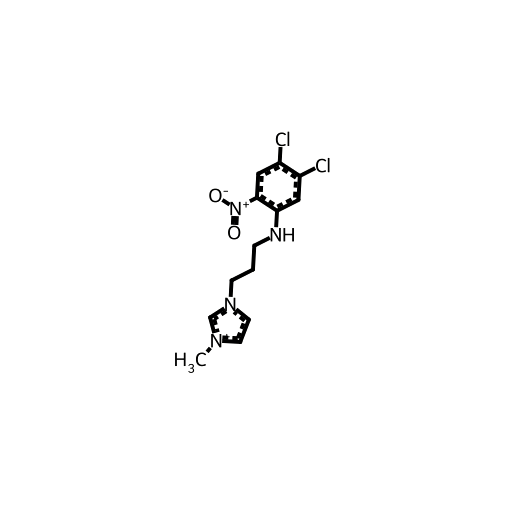 C[n+]1ccn(CCCNc2cc(Cl)c(Cl)cc2[N+](=O)[O-])c1